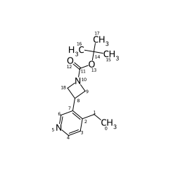 CCc1ccncc1C1CN(C(=O)OC(C)(C)C)C1